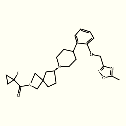 Cc1nc(COc2ccccc2C2CCN([C@H]3CCC4(C3)CN(C(=O)C3(F)CC3)C4)CC2)no1